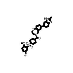 COc1ccc(OC)c(S(=O)(=O)c2ccc(C(=O)N3CCOc4ccc(-c5ccc6nc(C)[nH]c6c5)cc4C3)cc2)c1